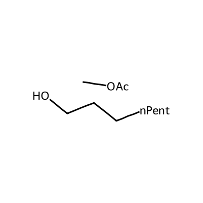 CCCCCCCCO.COC(C)=O